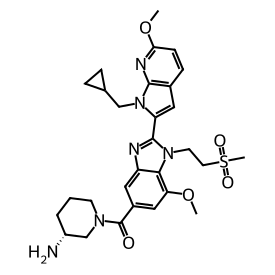 COc1ccc2cc(-c3nc4cc(C(=O)N5CCC[C@@H](N)C5)cc(OC)c4n3CCS(C)(=O)=O)n(CC3CC3)c2n1